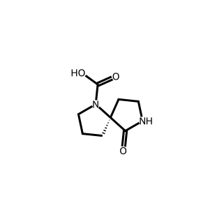 O=C(O)N1CCC[C@@]12CCNC2=O